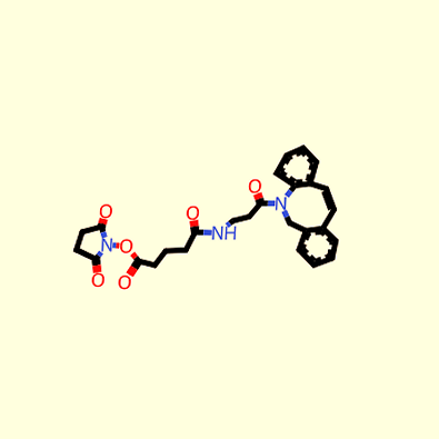 O=C(CCCC(=O)ON1C(=O)CCC1=O)NCCC(=O)N1Cc2ccccc2/C=C\c2ccccc21